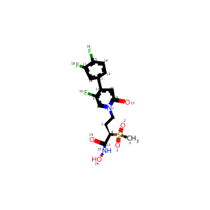 CS(=O)(=O)[C@H](CCn1cc(F)c(-c2ccc(F)c(F)c2)cc1=O)C(=O)NO